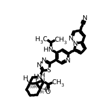 CC(=O)N[C@H]1[C@@H]2CCC[C@H]1CN(c1nnc(-c3cnc(-c4ccc5cc(C#N)cnn45)cc3NC(C)C)s1)C2